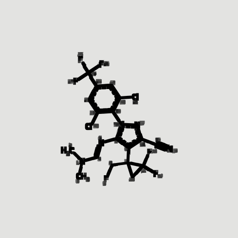 CN(C)C=Nc1c(C2(CF)CC2(F)F)c(C#N)nn1-c1c(Cl)cc(C(F)(F)F)cc1Cl